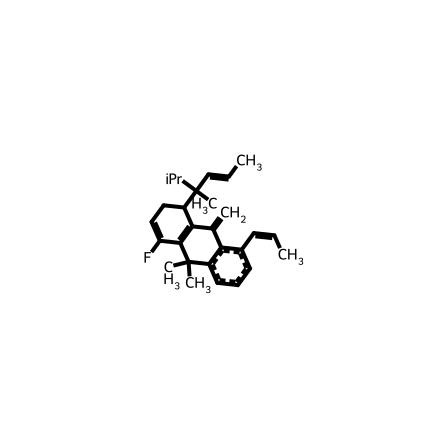 C=C1C2=C(C(F)=CCC2C(C)(C=CC)C(C)C)C(C)(C)c2cccc(/C=C\C)c21